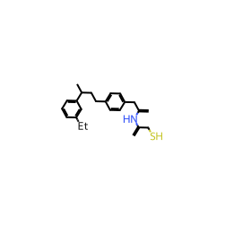 C=C(CS)NC(=C)Cc1ccc(CCC(C)c2cccc(CC)c2)cc1